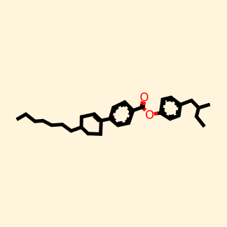 CCCCCCCC1CC=C(c2ccc(C(=O)Oc3ccc(CC(C)CC)cc3)cc2)CC1